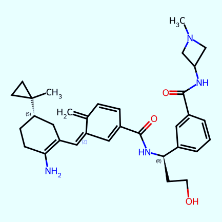 C=c1ccc(C(=O)N[C@H](CCO)c2cccc(C(=O)NC3CN(C)C3)c2)c/c1=C/C1=C(N)CC[C@H](C2(C)CC2)C1